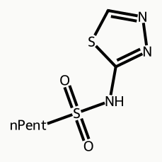 CCCCCS(=O)(=O)Nc1nncs1